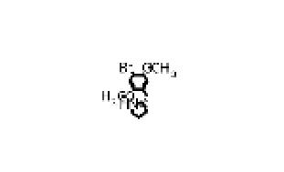 COc1cc(C[C@@H]2CCCN2)c(OC)cc1Br